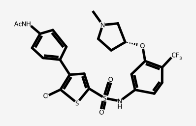 CC(=O)Nc1ccc(-c2cc(S(=O)(=O)Nc3ccc(C(F)(F)F)c(O[C@@H]4CCN(C)C4)c3)sc2Cl)cc1